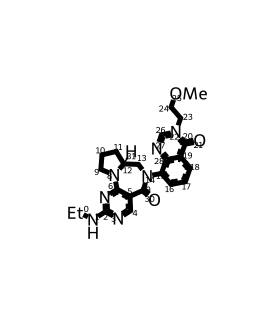 CCNc1ncc2c(n1)N1CCC[C@H]1CN(c1cccc3c(=O)n(CCOC)cnc13)C2=O